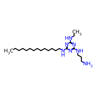 CCCCCCCCCCCCCCNc1nc(NCC)nc(NCCCN)n1